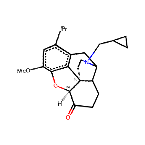 COc1cc(C(C)C)c2c3c1O[C@@H]1C(=O)CCC4C(C2)N(CC2CC2)CC[C@]341